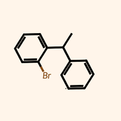 CC(c1c[c]ccc1)c1ccccc1Br